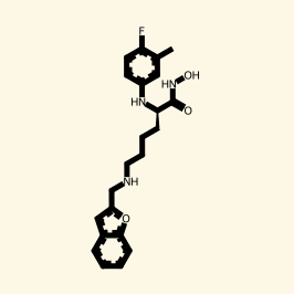 Cc1cc(N[C@H](CCCCNCc2cc3ccccc3o2)C(=O)NO)ccc1F